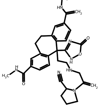 C=C(NC)c1ccc2c(c1)CCc1cc(C(=O)NC)ccc1C2(CCNCC(=C)N1CCCC1C#N)c1nc(=O)o[nH]1